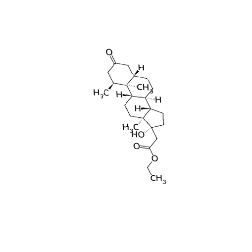 CCOC(=O)C[C@]1(O)CC[C@H]2[C@@H]3CC[C@H]4CC(=O)C[C@H](C)[C@]4(C)[C@H]3CC[C@@]21C